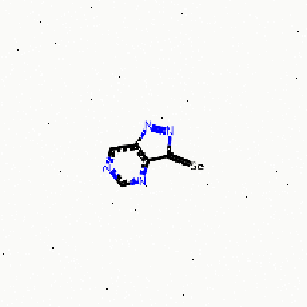 [Se]=C1N=Nc2cncnc21